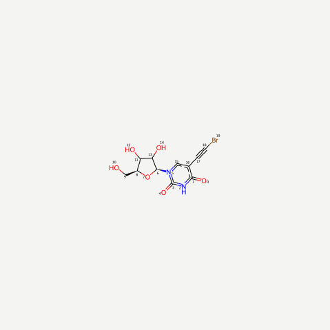 O=c1[nH]c(=O)n([C@H]2O[C@@H](CO)C(O)C2O)cc1C#CBr